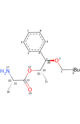 CCC(C)CO[C@H](c1ccccc1)[C@H](C)OC(=O)[C@H](C)N